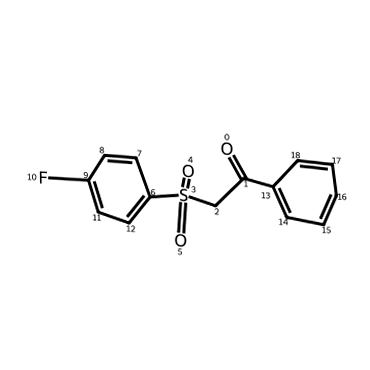 O=C(CS(=O)(=O)c1ccc(F)cc1)c1ccccc1